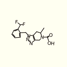 CC1Cc2c(nnn2Cc2ccccc2C(F)F)CN1C(=O)O